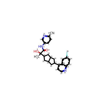 CC(O)(C(=O)Nc1ccc(C#N)nc1)C1CC2CC(c3ccnc4ccc(F)cc34)CC2C1